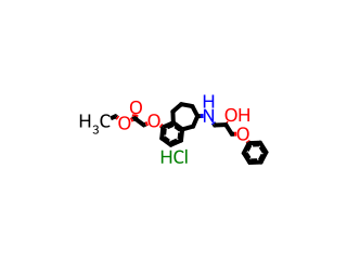 CCOC(=O)COc1cccc2c1CCCC(NC[C@H](O)COc1ccccc1)C2.Cl